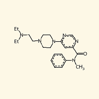 CCN(CC)CCN1CCN(c2cc(C(=O)N(C)c3ccccc3)ncn2)CC1